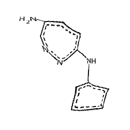 Nc1ccc(Nc2ccccc2)nn1